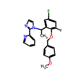 COc1ccc(COc2c(F)cc(F)cc2C(C)n2ccnc2-c2ccccn2)cc1